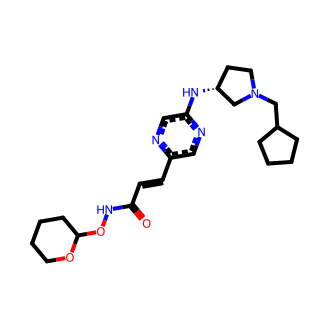 O=C(/C=C/c1cnc(N[C@@H]2CCN(CC3CCCC3)C2)cn1)NOC1CCCCO1